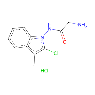 Cc1c(Cl)n(NC(=O)CN)c2ccccc12.Cl